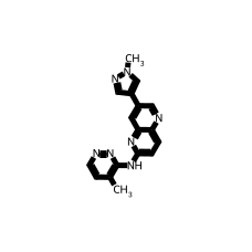 Cc1ccnnc1Nc1ccc2ncc(-c3cnn(C)c3)cc2n1